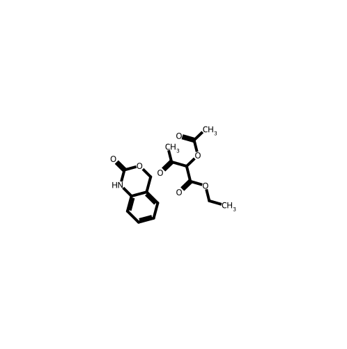 CCOC(=O)C(OC(C)=O)C(C)=O.O=C1Nc2ccccc2CO1